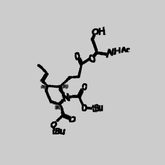 CC=C[C@@H]1C[C@H](C(=O)OC(C)(C)C)N(C(=O)OC(C)(C)C)[C@@H]1CCC(=O)OC(CO)NC(C)=O